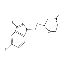 CN1CCOC(CCn2nc(I)c3cc(F)ccc32)C1